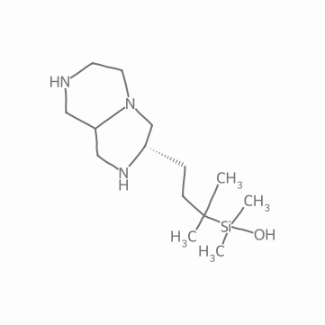 CC(C)(CC[C@H]1CN2CCNCC2CN1)[Si](C)(C)O